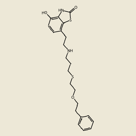 O=c1[nH]c2c(O)ccc(CCNCCCSCCOCCc3ccccc3)c2s1